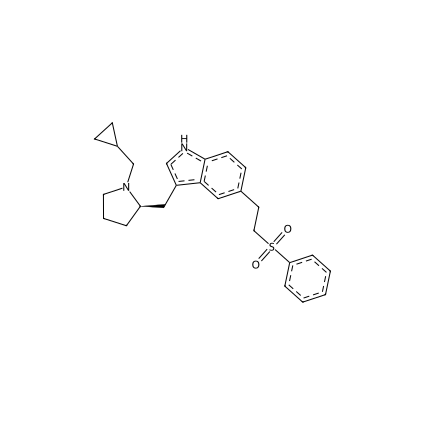 O=S(=O)(CCc1ccc2[nH]cc(C[C@H]3CCCN3CC3CC3)c2c1)c1ccccc1